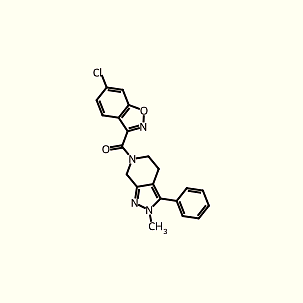 Cn1nc2c(c1-c1ccccc1)CCN(C(=O)c1noc3cc(Cl)ccc13)C2